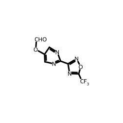 O=COc1cnc(-c2noc(C(F)(F)F)n2)nc1